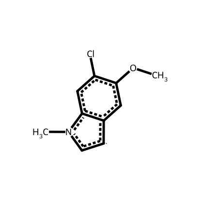 COc1cc2[c]cn(C)c2cc1Cl